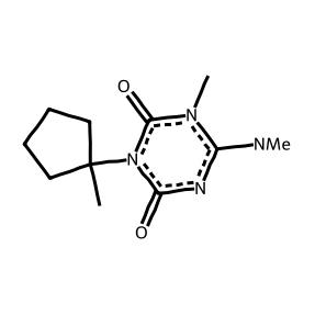 CNc1nc(=O)n(C2(C)CCCC2)c(=O)n1C